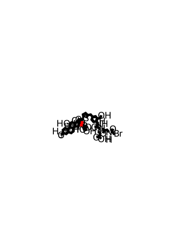 C[C@]12C=CC(=O)C=C1CC[C@@H]1[C@@H]2[C@@H](O)C[C@@]2(C)[C@H]1C[C@H]1O[C@@H](c3ccc(Cc4ccc(NC(=O)[C@H](CCC(=O)O)NC(=O)CNC(=O)CBr)c(CO)c4)s3)O[C@]12C(=O)COP(=O)(O)O